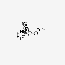 CCCOc1cccc(-c2ccc3c(c2)CCC(C)(C)[C@H]3NC(=O)O[C@@H]2CN3CCC2CC3)c1